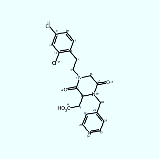 O=C(O)CC1C(=O)N(CCc2ccc(Cl)cc2Cl)CC(=O)N1Cc1ccncc1